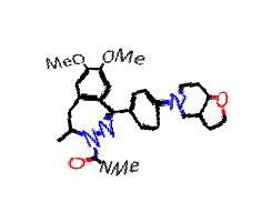 CNC(=O)N1N=C(c2ccc(N3CCC4OCCC4C3)cc2)c2cc(OC)c(OC)cc2CC1C